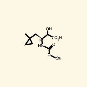 CC1(C[C@H](NC(=O)OC(C)(C)C)C(O)C(=O)O)CC1